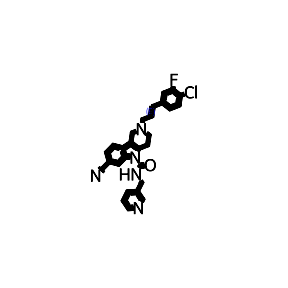 N#Cc1ccc2c3c(n(C(=O)NCc4cccnc4)c2c1)CCN(C/C=C/c1ccc(Cl)c(F)c1)C3